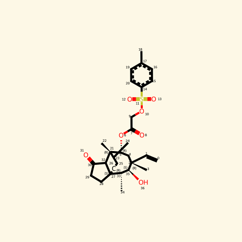 C=C[C@@]1(C)C[C@@H](OC(=O)COS(=O)(=O)c2ccc(C)cc2)[C@]2(C)C(C)CC[C@]3(CCC(=O)C32)[C@@H](C)[C@@H]1O